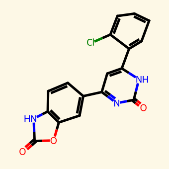 O=c1nc(-c2ccc3[nH]c(=O)oc3c2)cc(-c2ccccc2Cl)[nH]1